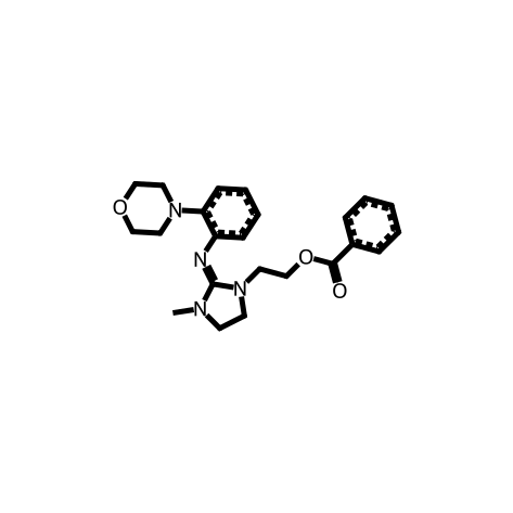 CN1CCN(CCOC(=O)c2ccccc2)C1=Nc1ccccc1N1CCOCC1